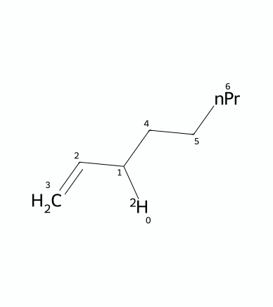 [2H]C(C=C)CCCCC